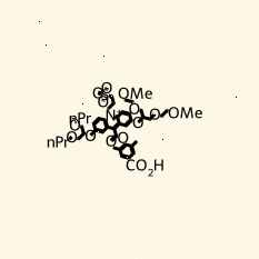 CCCOCC(COCCC)Oc1ccc2c(c1)c(C(=O)Oc1c(C)cc(C(=O)O)cc1C)c1cc(OC(COCCOC)COCCOC)ccc1[n+]2CCCS(=O)(=O)[O-]